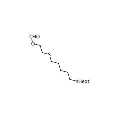 CCCCCCCCCCCCSCCOC=O